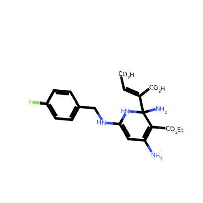 CCOC(=O)C1=C(N)C=C(NCc2ccc(F)cc2)NC1(N)C(=CC(=O)O)C(=O)O